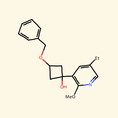 CCc1cnc(OC)c(C2(O)CC(OCc3ccccc3)C2)c1